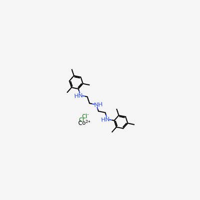 Cc1cc(C)c(NCCNCCNc2c(C)cc(C)cc2C)c(C)c1.[Cl-].[Cl-].[Co+2]